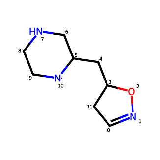 C1=NOC(CC2CNCC[N]2)C1